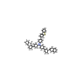 CC1(C)c2ccccc2-c2cccc(-c3ccc(N(c4ccc(-c5cccc(-c6ccc7ccccc7c6)c5)cc4)c4ccc(-c5ccc6c(c5)sc5ccccc56)cc4)cc3)c21